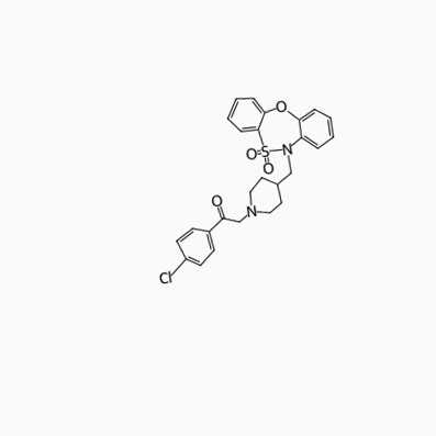 O=C(CN1CCC(CN2c3ccccc3Oc3ccccc3S2(=O)=O)CC1)c1ccc(Cl)cc1